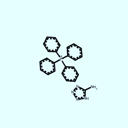 Nc1nnn[nH]1.c1ccc([PH](c2ccccc2)(c2ccccc2)c2ccccc2)cc1